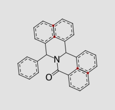 O=C(c1ccccc1)N(C(c1ccccc1)c1ccccc1)C(c1ccccc1)c1ccccc1